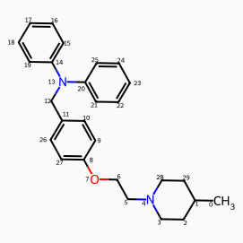 CC1CCN(CCOc2ccc(CN(c3ccccc3)c3ccccc3)cc2)CC1